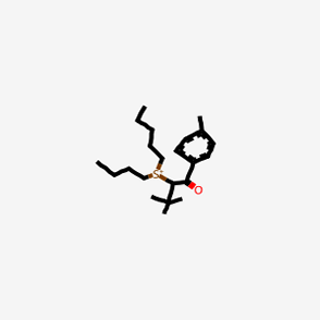 CCCCC[S+](CCCC)C(C(=O)c1ccc(C)cc1)C(C)(C)C